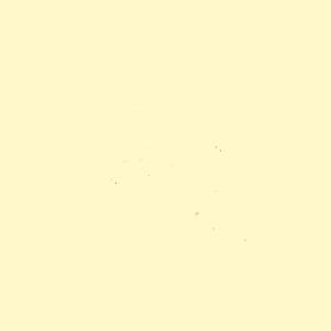 CCCCNc1c(C)c(C(=O)O)cc(S(N)(=O)=O)c1Oc1ccccc1